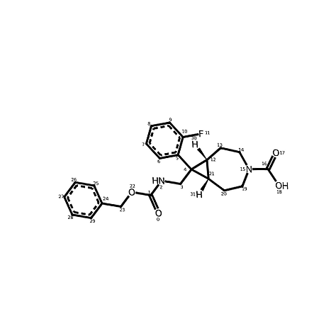 O=C(NCC1(c2ccccc2F)[C@@H]2CCN(C(=O)O)CC[C@@H]21)OCc1ccccc1